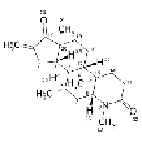 C=C1C[C@H]2[C@@H]3[C@@H](C)C[C@H]4N(C)C(=O)CC[C@]4(C)[C@H]3CC[C@]2(C)C1=O